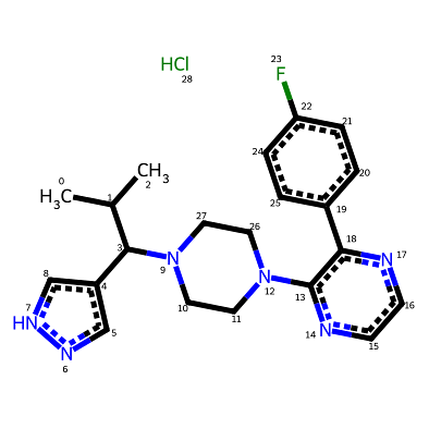 CC(C)C(c1cn[nH]c1)N1CCN(c2nccnc2-c2ccc(F)cc2)CC1.Cl